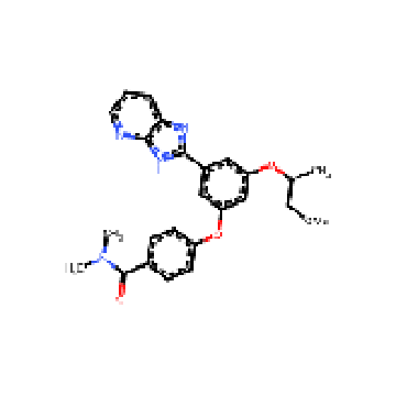 COC[C@H](C)Oc1cc(Oc2ccc(C(=O)N(C)C)cc2)cc(-c2nc3cccnc3[nH]2)c1